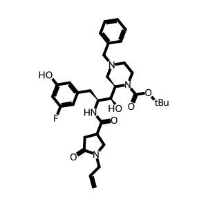 C=CCN1CC(C(=O)N[C@@H](Cc2cc(O)cc(F)c2)[C@H](O)[C@H]2CN(Cc3ccccc3)CCN2C(=O)OC(C)(C)C)CC1=O